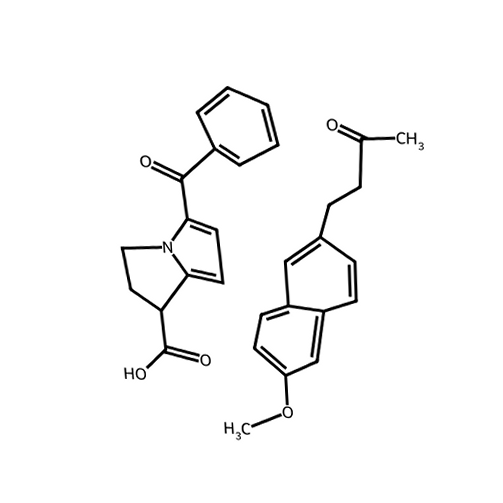 COc1ccc2cc(CCC(C)=O)ccc2c1.O=C(c1ccccc1)c1ccc2n1CCC2C(=O)O